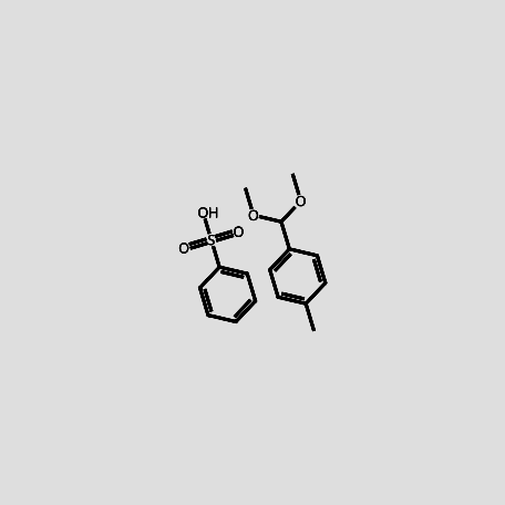 COC(OC)c1ccc(C)cc1.O=S(=O)(O)c1ccccc1